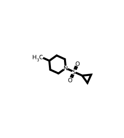 CC1CCN(S(=O)(=O)C2CC2)CC1